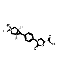 NC(=O)[C@H]1CN(c2ccc(C3[C@H]4CS(O)(O)C[C@@H]34)cc2)C(=O)O1